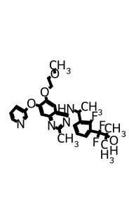 COCCOc1cc2c(NC(C)c3cccc(C(F)(F)C(C)(C)O)c3F)nc(C)nc2cc1Oc1cccnc1